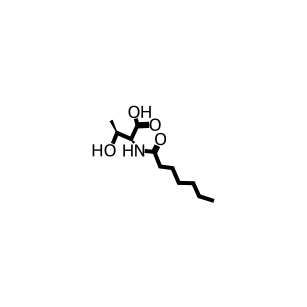 CCCCCCC(=O)N[C@@H](C(=O)O)[C@H](C)O